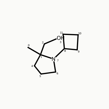 CC1(CO)CCCN1C1CCC1